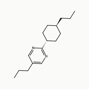 CCCc1cnc([C@H]2CC[C@H](CCC)CC2)nc1